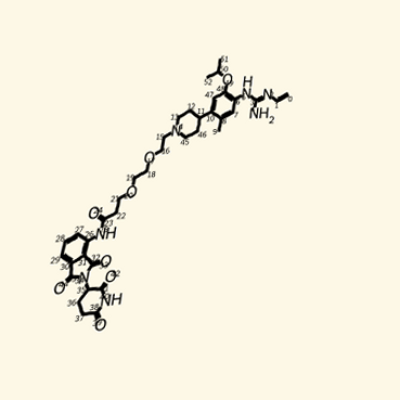 C=C/N=C(\N)Nc1cc(C)c(C2CCN(CCOCCOCCC(=O)Nc3cccc4c3C(=O)N(C3CCC(=O)NC3=O)C4=O)CC2)cc1OC(C)C